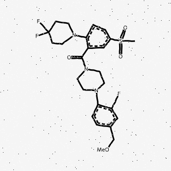 COCc1ccc(N2CCN(C(=O)c3cc(S(C)(=O)=O)ccc3N3CCC(F)(F)CC3)CC2)c(F)c1